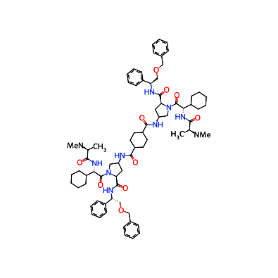 CN[C@@H](C)C(=O)N[C@H](C(=O)N1C[C@@H](NC(=O)C2CCC(C(=O)N[C@H]3C[C@@H](C(=O)N[C@H](COCc4ccccc4)c4ccccc4)N(C(=O)[C@@H](NC(=O)[C@H](C)NC)C4CCCCC4)C3)CC2)C[C@H]1C(=O)N[C@H](COCc1ccccc1)c1ccccc1)C1CCCCC1